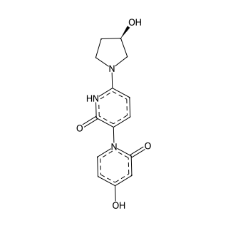 O=c1[nH]c(N2CC[C@@H](O)C2)ccc1-n1ccc(O)cc1=O